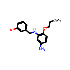 COCCOc1ccc(N)cc1NCc1cccc(O)c1